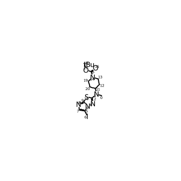 CN(c1nn2c(I)cnc2s1)C1CCN(C(=O)OC(C)(C)C)CC1